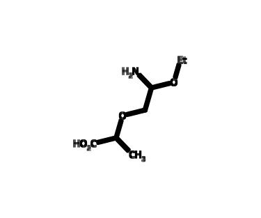 CCOC(N)COC(C)C(=O)O